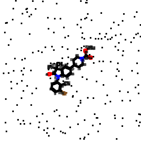 CC(C)C1(C)C(=O)N(c2cccc(Br)c2C#N)c2ccc(C3CCN(C(=O)OC(C)(C)C)CC3)cc21